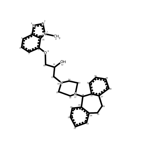 Cn1nnc2cccc(OCC(O)CN3CCN(C4c5ccccc5CCc5ccccc54)CC3)c21